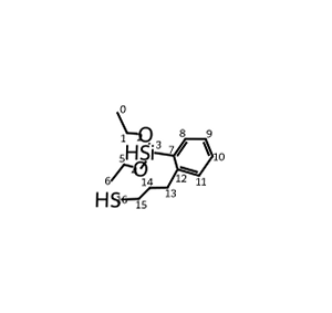 CCO[SiH](OCC)c1ccccc1CCCS